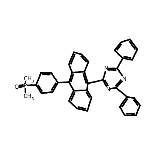 CP(C)(=O)c1ccc(-c2c3ccccc3c(-c3nc(-c4ccccc4)nc(-c4ccccc4)n3)c3ccccc23)cc1